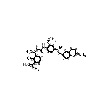 COc1cc([S+]([O-])Cc2ccc3c(c2)CCN(C)C3)ccc1NC(=O)NC(C)c1cccc(C(C)C)c1Cl